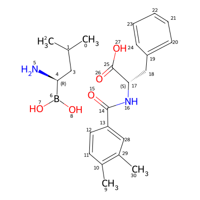 CC(C)C[C@H](N)B(O)O.Cc1ccc(C(=O)N[C@@H](Cc2ccccc2)C(=O)O)cc1C